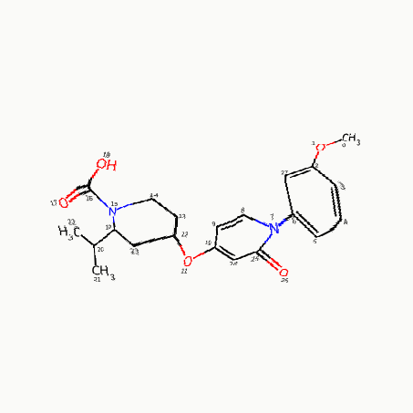 COc1cccc(-n2ccc(OC3CCN(C(=O)O)C(C(C)C)C3)cc2=O)c1